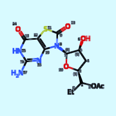 CCC(OC(C)=O)[C@@H]1C[C@H](O)[C@H](n2c(=O)sc3c(=O)[nH]c(N)nc32)O1